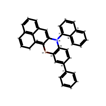 C1=Cc2cccc3cc4c(c(c23)C1)Sc1cc(-c2ccccc2)ccc1N4c1cccc2ccccc12